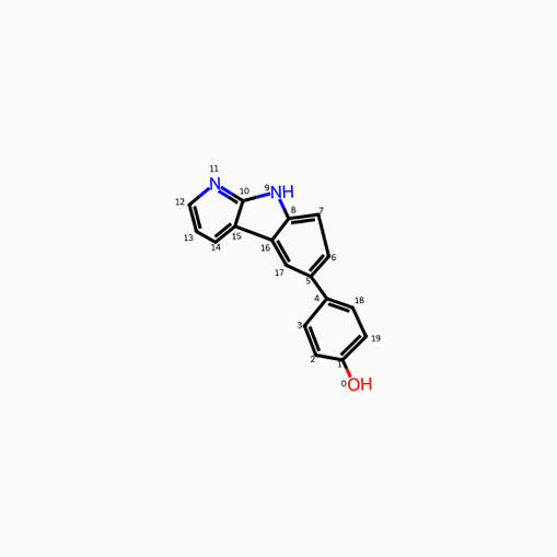 Oc1ccc(-c2ccc3[nH]c4ncccc4c3c2)cc1